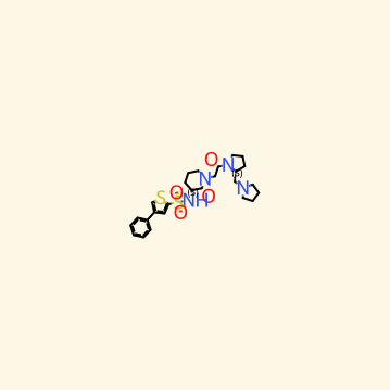 O=C1[C@@H](NS(=O)(=O)c2cc(-c3ccccc3)cs2)CCCN1CC(=O)N1CCC[C@H]1CN1CCCC1